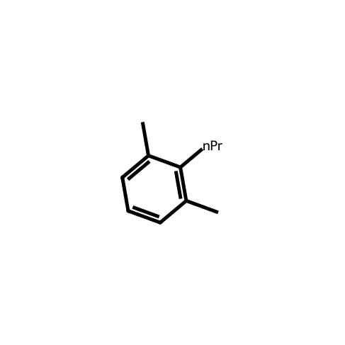 CCCc1c(C)cccc1C